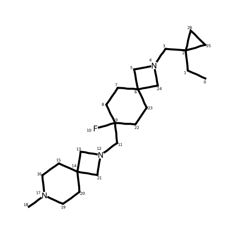 CCC1(CN2CC3(CCC(F)(CN4CC5(CCN(C)CC5)C4)CC3)C2)CC1